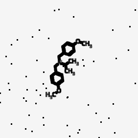 COc1ccc(CN(Cc2ccc(OC)cc2)C(C)C)cc1